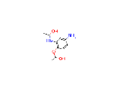 CC(O)Nc1cc(N)ccc1OC(C)O